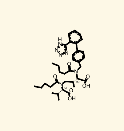 CCCCC(=O)N(CC(C)[C@@H](C(=O)O)N(Cc1ccc(-c2ccccc2-c2nnn[nH]2)cc1)C(=O)CCCC)[C@H](C(=O)O)C(C)C